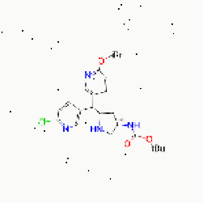 CC(C)Oc1ccc(C(c2ccc(Cl)nc2)C2C[C@@H](NC(=O)OC(C)(C)C)CN2)cn1